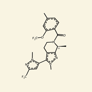 Cc1ccc(C(=O)N2CCc3c(nn(C)c3-c3cc(C(F)(F)F)nn3C)[C@@H]2C)c(OC(F)(F)F)c1